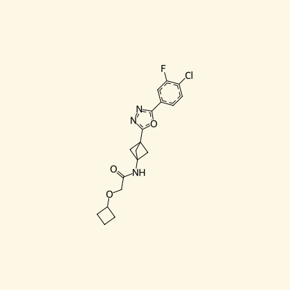 O=C(COC1CCC1)NC12CC(c3nnc(-c4ccc(Cl)c(F)c4)o3)(C1)C2